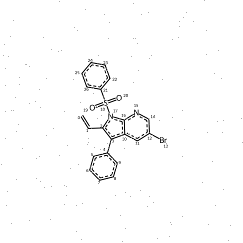 C=Cc1c(-c2ccccc2)c2cc(Br)cnc2n1S(=O)(=O)c1ccccc1